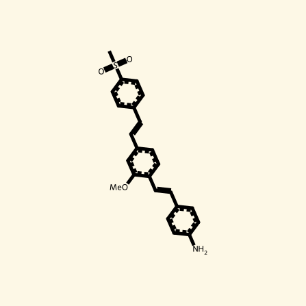 COc1cc(C=Cc2ccc(S(C)(=O)=O)cc2)ccc1C=Cc1ccc(N)cc1